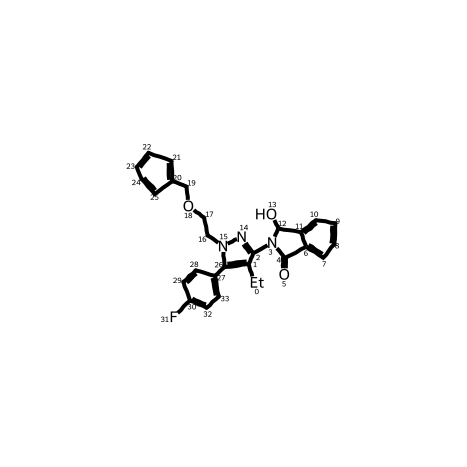 CCc1c(N2C(=O)c3ccccc3C2O)nn(CCOCc2ccccc2)c1-c1ccc(F)cc1